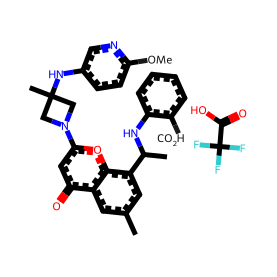 COc1ccc(NC2(C)CN(c3cc(=O)c4cc(C)cc(C(C)Nc5ccccc5C(=O)O)c4o3)C2)cn1.O=C(O)C(F)(F)F